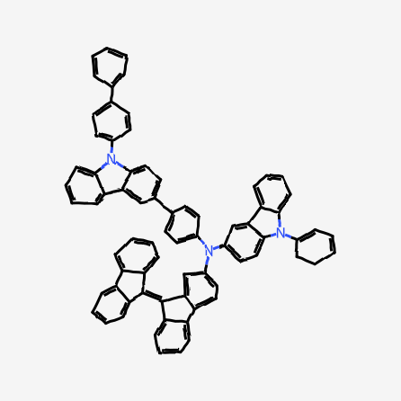 C1=CCCC(n2c3ccccc3c3cc(N(c4ccc(-c5ccc6c(c5)c5ccccc5n6-c5ccc(-c6ccccc6)cc5)cc4)c4ccc5c(c4)C(=C4c6ccccc6-c6ccccc64)c4ccccc4-5)ccc32)=C1